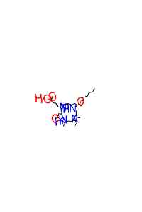 CCCCCCOC(C)c1c(C)c2cc3nc(c4c5[nH]c(cc6nc(cc1[nH]2)C(C)=C6CC)c(C)c5C(=O)C4)[C@@H](CCCC(=O)O)[C@@H]3C